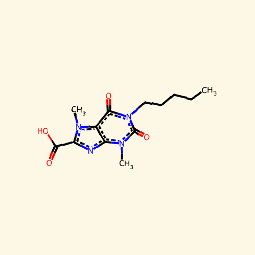 CCCCCn1c(=O)c2c(nc(C(=O)O)n2C)n(C)c1=O